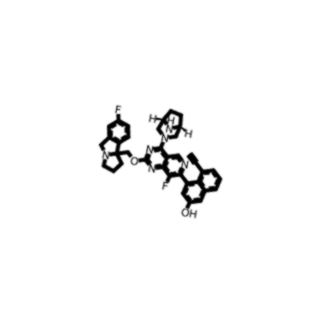 C#Cc1cccc2cc(O)cc(-c3ncc4c(N5C[C@H]6CC[C@@H](C5)N6)nc(OCC56CCCN5Cc5cc(F)ccc56)nc4c3F)c12